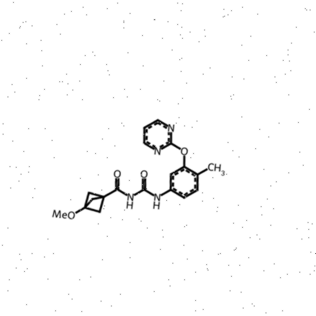 COC12CC(C(=O)NC(=O)Nc3ccc(C)c(Oc4ncccn4)c3)(C1)C2